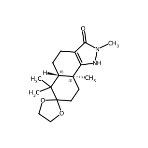 Cn1[nH]c2c(c1=O)CC[C@H]1C(C)(C)C3(CC[C@]21C)OCCO3